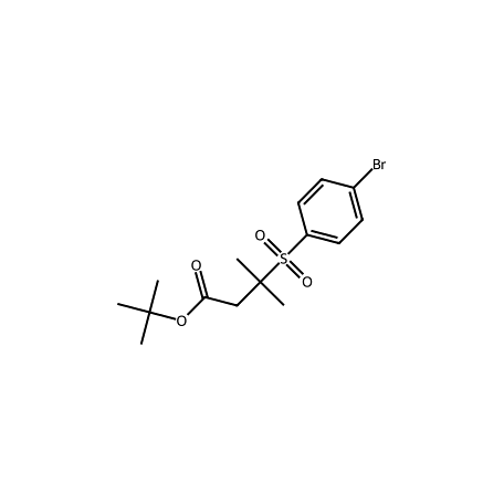 CC(C)(C)OC(=O)CC(C)(C)S(=O)(=O)c1ccc(Br)cc1